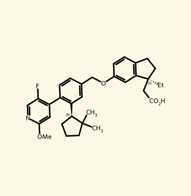 CC[C@@]1(CC(=O)O)CCc2ccc(OCc3ccc(-c4cc(OC)ncc4F)c([C@@H]4CCCC4(C)C)c3)cc21